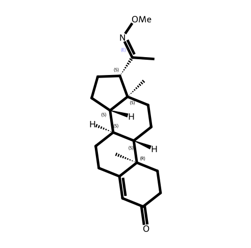 CO/N=C(\C)[C@H]1CC[C@H]2[C@@H]3CCC4=CC(=O)CC[C@]4(C)[C@H]3CC[C@]12C